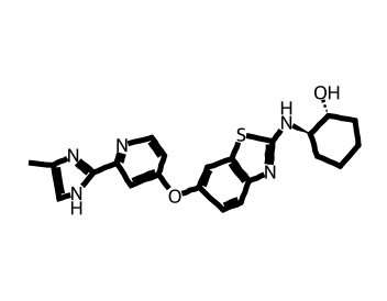 Cc1c[nH]c(-c2cc(Oc3ccc4nc(N[C@@H]5CCCC[C@H]5O)sc4c3)ccn2)n1